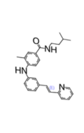 Cc1cc(C(=O)NCCC(C)C)ccc1Nc1cccc(/C=C/c2ccccn2)c1